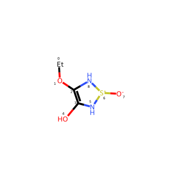 CCOC1=C(O)N[S+]([O-])N1